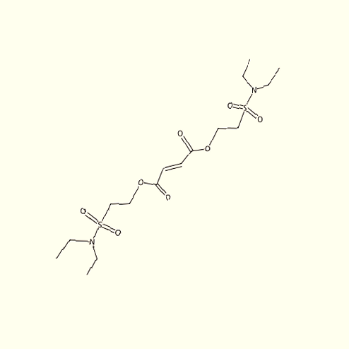 CCN(CC)S(=O)(=O)CCOC(=O)/C=C/C(=O)OCCS(=O)(=O)N(CC)CC